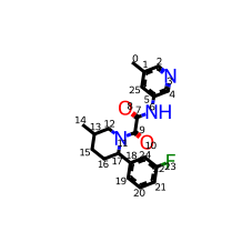 Cc1cncc(NC(=O)C(=O)N2CC(C)CCC2c2cccc(F)c2)c1